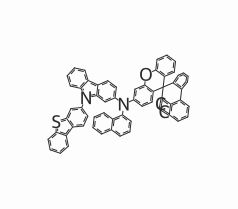 c1ccc2c(c1)Oc1cc(N(c3ccc4c5ccccc5n(-c5ccc6c(c5)sc5ccccc56)c4c3)c3cccc4ccccc34)ccc1C21c2ccccc2-c2cccc3cccc1c23